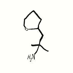 CC(C)(N)CC1CCCO1